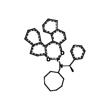 C[C@H](c1ccccc1)N(C1CCCCCCC1)p1oc2ccc3ccccc3c2c2c(ccc3ccccc32)o1